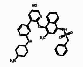 Cc1cc(NS(=O)(=O)Cc2ccccc2)c2ccccc2c1Oc1ncccc1-c1ccnc(NC2CCC(N)CC2)n1.Cl